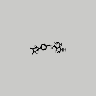 CC1OB(c2ccc(CSc3ncnc4[nH]cnc34)cc2)OC1C